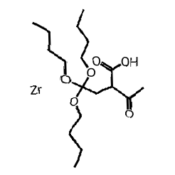 CCCCOC(CC(C(C)=O)C(=O)O)(OCCCC)OCCCC.[Zr]